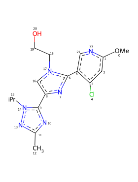 COc1cc(Cl)c(-c2nc(-c3nc(C)nn3C(C)C)cn2CCO)cn1